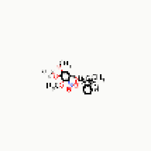 COc1cc(CO[SiH2]c2ccccc2C(C)(C)C)c([N+](=O)[O-])c(OC)c1OC